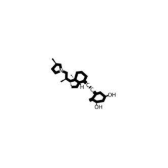 C=C1C(=C=C=C2CCC[C@@]3(C)[C@@H]2CC[C@@H]3[C@@H](C)CN2CC[C@@H](C)C2)C[C@@H](O)C[C@@H]1O